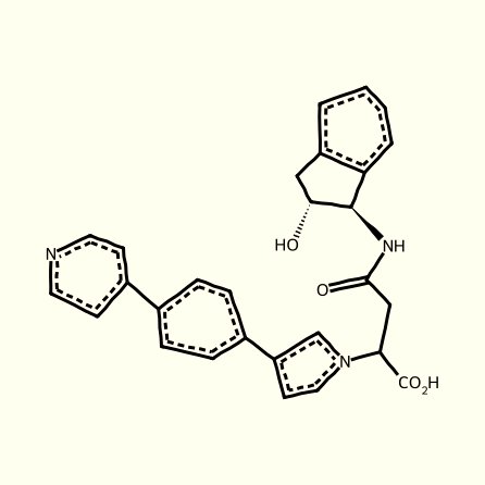 O=C(CC(C(=O)O)n1ccc(-c2ccc(-c3ccncc3)cc2)c1)N[C@@H]1c2ccccc2C[C@H]1O